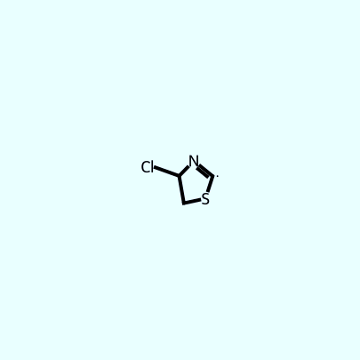 ClC1CS[C]=N1